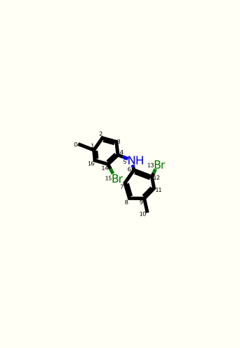 Cc1ccc(Nc2ccc(C)cc2Br)c(Br)c1